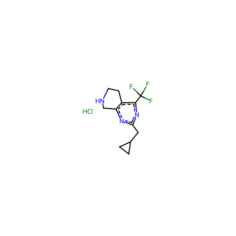 Cl.FC(F)(F)c1nc(CC2CC2)nc2c1CCNC2